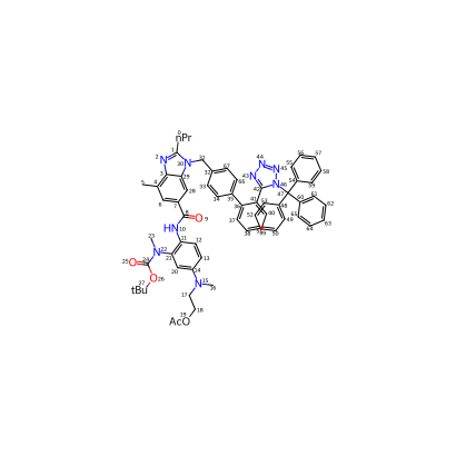 CCCc1nc2c(C)cc(C(=O)Nc3ccc(N(C)CCOC(C)=O)cc3N(C)C(=O)OC(C)(C)C)cc2n1Cc1ccc(-c2ccccc2-c2nnnn2C(c2ccccc2)(c2ccccc2)c2ccccc2)cc1